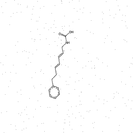 O=C(O)NCC=CC=CCCc1ccccc1